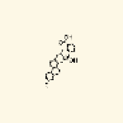 O=C(O)c1cccc(C(=O)O)c1CC1C=c2ccc3c(c2CC1)CC=c1cc(Cl)ccc1=3